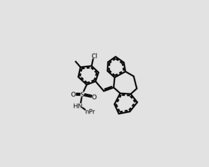 CCCNS(=O)(=O)c1cc(C)c(Cl)cc1C=C1c2ccccc2CCc2ccccc21